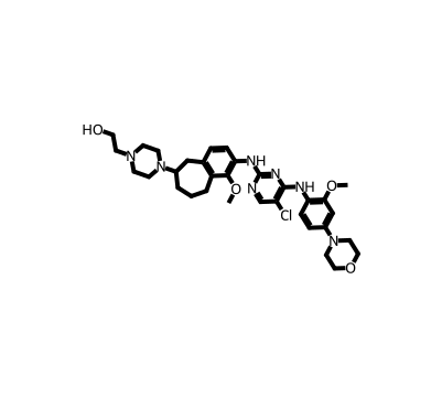 COc1cc(N2CCOCC2)ccc1Nc1nc(Nc2ccc3c(c2OC)CCCC(N2CCN(CCO)CC2)C3)ncc1Cl